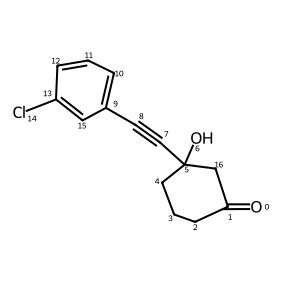 O=C1CCCC(O)(C#Cc2cccc(Cl)c2)C1